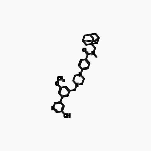 CN(CC12CC3CC(CC(C3)C1)C2)C(=O)c1ccc(N2CCN(Cc3cc(OC(F)(F)F)cc(-c4cncc(O)c4)c3)CC2)cc1